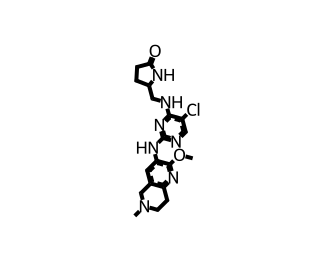 COc1nc2c(cc1Nc1ncc(Cl)c(NCC3CCC(=O)N3)n1)CN(C)CC2